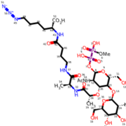 COP(=O)(O)P(=O)(O)O[C@H]1O[C@H](CO)C(O[C@@H]2O[C@H](CO)[C@@H](O)[C@H](O)[C@H]2NC(C)=O)[C@H](O[C@H](C)C(=O)N[C@@H](C)C(=O)NCCCC(=O)N[C@@H](CCCCN=[N+]=[N-])C(=O)O)[C@H]1NC(C)=O